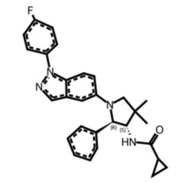 CC1(C)CN(c2ccc3c(cnn3-c3ccc(F)cc3)c2)[C@H](c2ccccc2)[C@H]1NC(=O)C1CC1